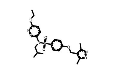 CCOc1ccc(N(CC(C)C)S(=O)(=O)c2ccc(OCc3c(C)noc3C)cc2)nn1